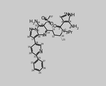 CC(C)N(C(=O)c1cn[nH]c1N)[C@H](C)CCc1nc2c(-c3ccc(-c4ccccc4)nc3)cnn2c(N)c1S(C)(=O)=O